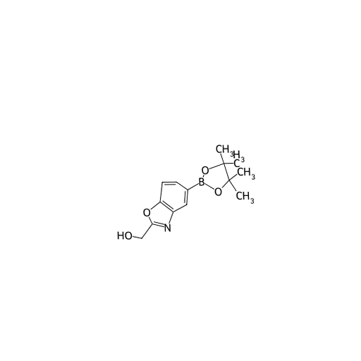 CC1(C)OB(c2ccc3oc(CO)nc3c2)OC1(C)C